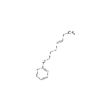 CC/C=C/CCCOc1c[c]ccc1